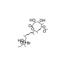 CCC(O)C(C)C(Br)C(O)CC(C)/C=C/C=C(\C)C1OC(=O)CC(O)CC(O)C(C)C(OC(C)=O)/C=C/C1C